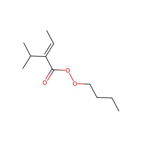 C/C=C(/C(=O)OOCCCC)C(C)C